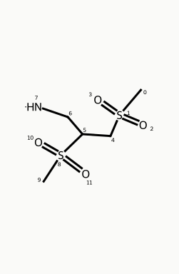 CS(=O)(=O)CC(C[NH])S(C)(=O)=O